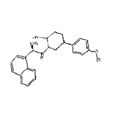 CCCC1CCC(c2ccc(OCC)cc2)CC1N[C@H](C)c1cccc2ccccc12